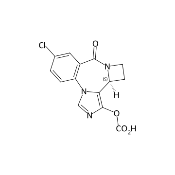 O=C(O)Oc1ncn2c1[C@@H]1CCN1C(=O)c1cc(Cl)ccc1-2